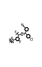 Cn1nnnc1-c1cc(F)cc(C(C2CN(C(c3ccc(Cl)cc3)c3cccc(C#N)c3)C2)C(C)(C)F)c1